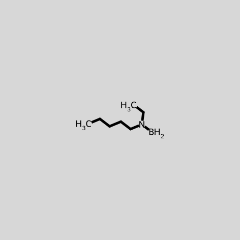 BN(CC)CCCCC